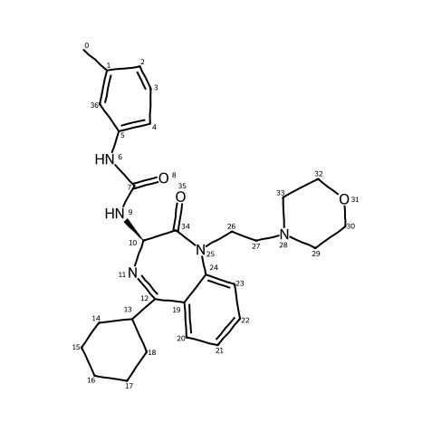 Cc1cccc(NC(=O)N[C@@H]2N=C(C3CCCCC3)c3ccccc3N(CCN3CCOCC3)C2=O)c1